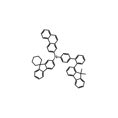 CC1(C)c2ccccc2-c2cccc(-c3ccccc3-c3ccc(N(c4ccc5c(c4)C4(CCCCC4)c4ccccc4-5)c4ccc5c(ccc6ccccc65)c4)cc3)c21